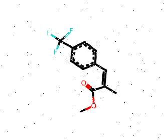 COC(=O)C(C)=Cc1ccc(C(F)(F)F)cc1